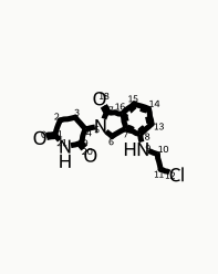 O=C1CCC(N2Cc3c(NCCCl)cccc3C2=O)C(=O)N1